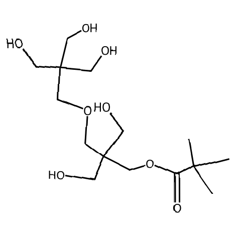 CC(C)(C)C(=O)OCC(CO)(CO)COCC(CO)(CO)CO